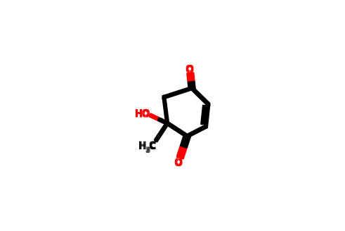 CC1(O)CC(=O)C=CC1=O